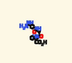 N=C(N)c1ccc(NC(=O)C2CC2C(=O)NCC(C(=O)O)c2ccccc2)cc1